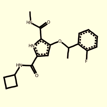 CNC(=O)c1[nH]c(C(=O)NC2CCC2)cc1OC(C)c1ccccc1F